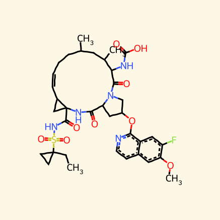 CCC1(S(=O)(=O)NC(=O)C23CC2C=CCCC(C)CC(C)C(NC(=O)O)C(=O)N2CC(Oc4nccc5cc(OC)c(F)cc45)CC2C(=O)N3)CC1